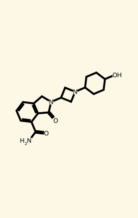 NC(=O)c1cccc2c1C(=O)N(C1CN(C3CCC(O)CC3)C1)C2